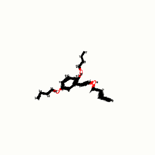 CCCCOC#Cc1cc(OCCCC)[c]cc1OCCCC